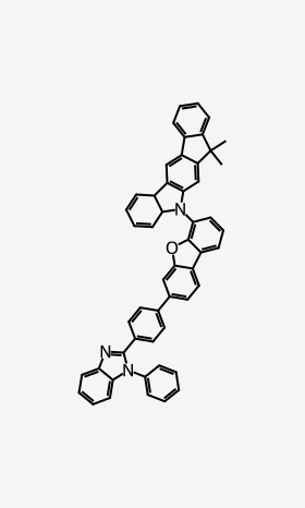 CC1(C)c2ccccc2-c2cc3c(cc21)N(c1cccc2c1oc1cc(-c4ccc(-c5nc6ccccc6n5-c5ccccc5)cc4)ccc12)C1C=CC=CC31